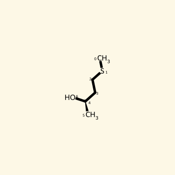 CSCC[C@@H](C)O